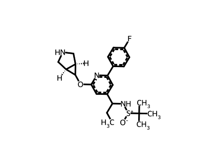 CCC(N[S+]([O-])C(C)(C)C)c1cc(OC2[C@H]3CNC[C@@H]23)nc(-c2ccc(F)cc2)c1